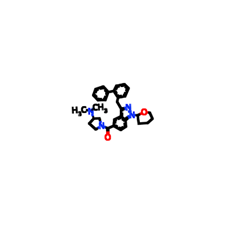 CN(C)[C@@H]1CCN(C(=O)c2ccc3c(c2)c(Cc2ccccc2-c2ccccc2)nn3C2CCCCO2)C1